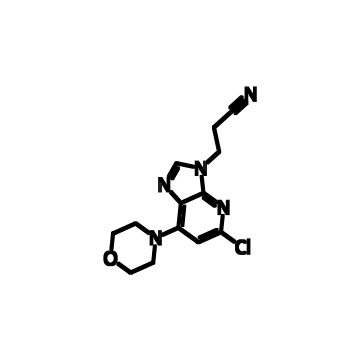 N#CCCn1cnc2c(N3CCOCC3)cc(Cl)nc21